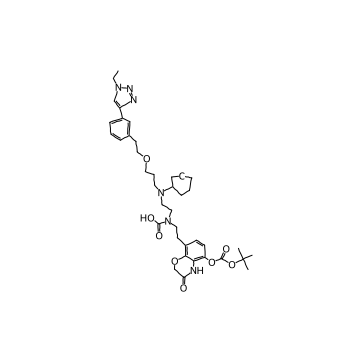 CCn1cc(-c2cccc(CCOCCCN(CCN(CCc3ccc(OC(=O)OC(C)(C)C)c4c3OCC(=O)N4)C(=O)O)C3CCCCC3)c2)nn1